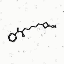 O=C(CCCCCC1CN(O)C1)Nc1ccccc1